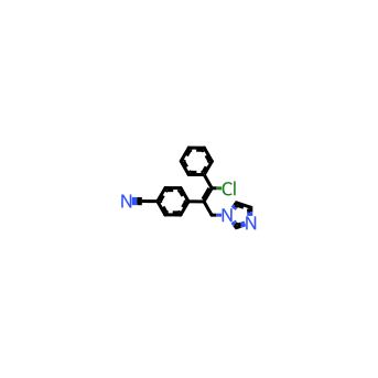 N#Cc1ccc(C(Cn2ccnc2)=C(Cl)c2ccccc2)cc1